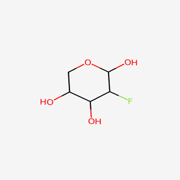 OC1COC(O)C(F)C1O